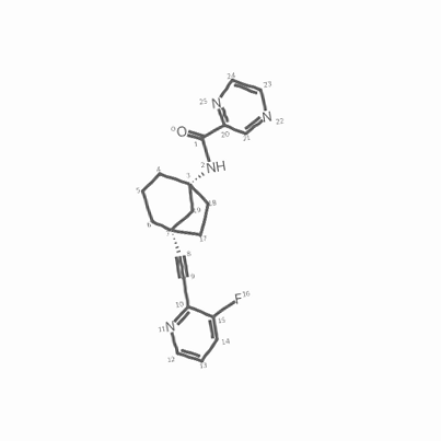 O=C(N[C@]12CCC[C@](C#Cc3ncccc3F)(CC1)C2)c1cnccn1